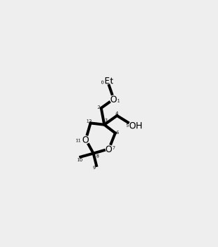 CCOCC1(CO)COC(C)(C)OC1